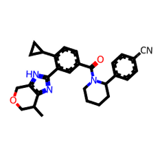 CC1COCc2[nH]c(-c3cc(C(=O)N4CCCCC4c4ccc(C#N)cc4)ccc3C3CC3)nc21